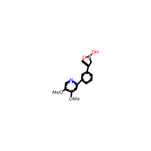 COc1cnc(-c2cccc(C3=COB(O)C3)c2)cc1OC